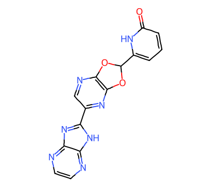 O=c1cccc(C2Oc3ncc(-c4nc5nccnc5[nH]4)nc3O2)[nH]1